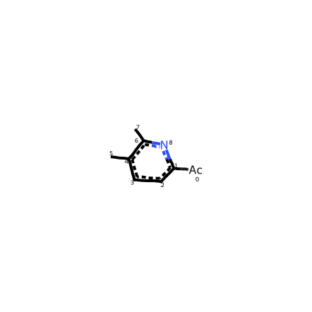 CC(=O)c1ccc(C)c(C)n1